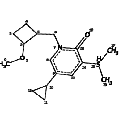 COC1CCC1Cn1cc(C2CC2)cc([SH](C)C)c1=O